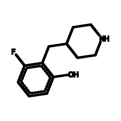 Oc1cccc(F)c1CC1CCNCC1